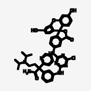 CC(C)N(CCC(C(N)=O)(c1cccc(Nc2nc(Cl)nc(Nc3ccc4c(c3)C(=O)OC43c4ccc(O)cc4Oc4cc(O)ccc43)n2)c1)c1ccccn1)C(C)C